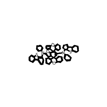 c1ccc(N(c2cc3c(o2)C2(c4ccccc4Oc4ccccc42)c2cc(N(c4ccccc4)c4cccc5c4sc4ccccc45)oc2C32c3ccccc3Oc3ccccc32)c2cccc3c2sc2ccccc23)cc1